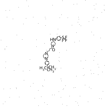 CC(C)(C)c1ccc(N2CCCN(CCCC(=O)N3CCC(Nc4ccc(SC(F)(F)F)cc4)CC3)CC2)cc1